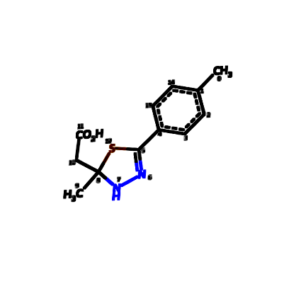 Cc1ccc(C2=NNC(C)(CC(=O)O)S2)cc1